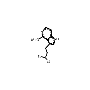 CCN(CC)CCc1c[nH]c2ccnc(OC)c12